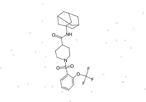 O=C(NC12CC3CC(CC(C3)C1)C2)C1CCN(S(=O)(=O)c2ccccc2OC(F)(F)F)CC1